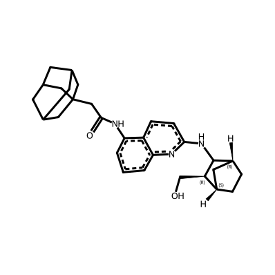 O=C(CC12CC3CC(CC(C3)C1)C2)Nc1cccc2nc(NC3[C@@H]4CC[C@@H](C4)[C@H]3CO)ccc12